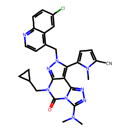 CN(C)c1nnc2c3c(-c4ccc(C#N)n4C)n(Cc4ccnc5ccc(Cl)cc45)nc3n(CC3CC3)c(=O)n12